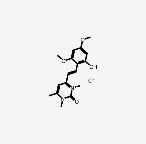 COc1cc(O)c(C=Cc2cc(C)n(C)c(=O)[n+]2C)c(OC)c1.[Cl-]